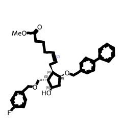 COC(=O)CCC/C=C\C[C@@H]1[C@@H](COCc2ccc(F)cc2)[C@H](O)C[C@H]1OCc1ccc(-c2ccccc2)cc1